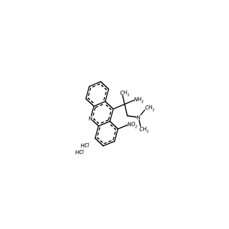 CN(C)CC(C)(N)c1c2ccccc2nc2cccc([N+](=O)[O-])c12.Cl.Cl